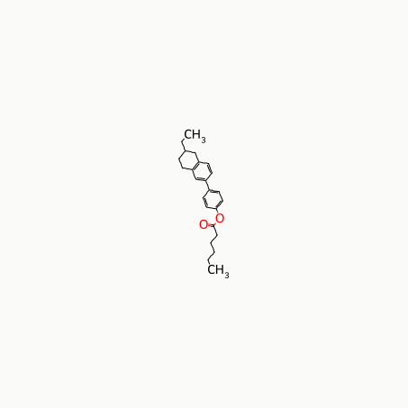 CCCCCC(=O)Oc1ccc(-c2ccc3c(c2)CCC(CC)C3)cc1